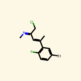 CCc1ccc(F)c(/C(C)=C/C(CCl)=N\C)c1